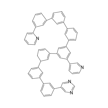 C1=CC(c2cc(-c3cccnc3)cc(-c3cccc(-c4cccc(-c5cccc(-c6ccccn6)c5)c4)c3)c2)=CC(c2cccc(-c3cccc(-c4cncnc4)c3)c2)C1